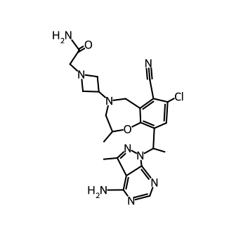 Cc1nn(C(C)c2cc(Cl)c(C#N)c3c2OC(C)CN(C2CN(CC(N)=O)C2)C3)c2ncnc(N)c12